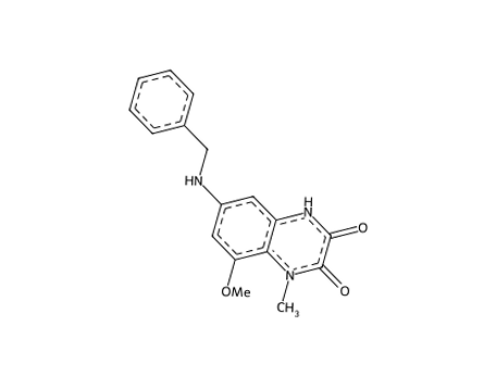 COc1cc(NCc2ccccc2)cc2[nH]c(=O)c(=O)n(C)c12